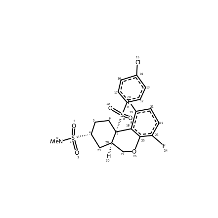 CNS(=O)(=O)[C@@H]1CC[C@@]2(S(=O)(=O)c3ccc(Cl)cc3)c3c(F)ccc(F)c3OC[C@H]2C1